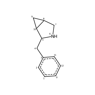 c1ccc(CC2NCC3CC32)cc1